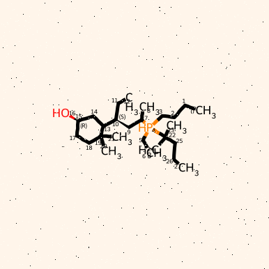 CCCC[PH](CC)(C(C)C[C@H](CC)C1C[C@H](O)CCC1(C)C)C(C)(C)CCC